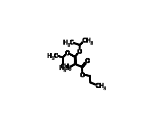 CCCOC(=O)C([SiH3])=C(OC(C)C)OC(C)C